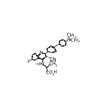 CC(Nc1c(C#N)c(-c2ccc(-c3ccc(N(C)C)cc3)cc2)nc2ccc(F)cc12)C(=O)O